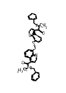 CN(Cc1ccccc1)C(=O)c1ccnc2c(SSc3cccc4c(C(=O)N(C)Cc5ccccc5)ccnc34)cccc12